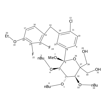 CCCCO[C@@H]1[C@@H](OCCCC)[C@](OC)(c2ccc(Cl)c(Cc3ccc(OCC)c(F)c3F)c2)OC(CO)(CO)[C@H]1OCCCC